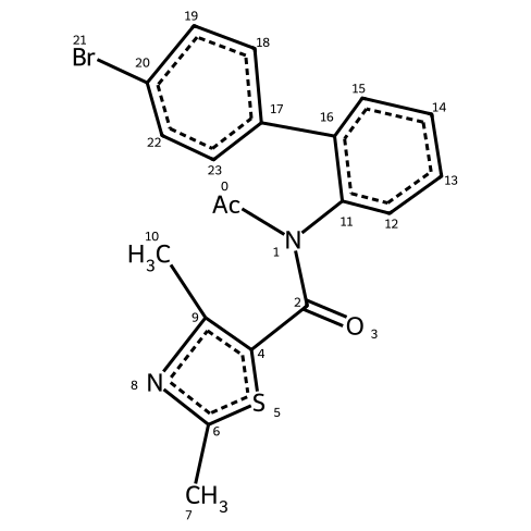 CC(=O)N(C(=O)c1sc(C)nc1C)c1ccccc1-c1ccc(Br)cc1